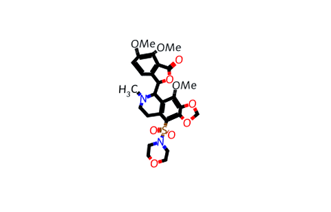 COc1ccc2c(c1OC)C(=O)OC2C1c2c(c(S(=O)(=O)N3CCOCC3)c3c(c2OC)OCO3)CCN1C